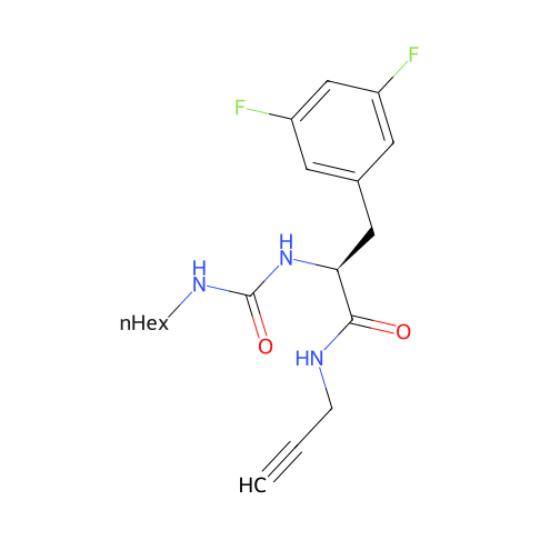 C#CCNC(=O)[C@H](Cc1cc(F)cc(F)c1)NC(=O)NCCCCCC